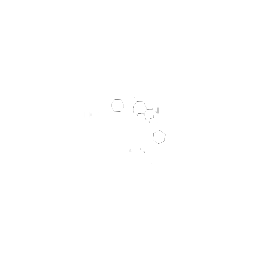 CC(=O)NC(C)(C)c1ccc(Oc2nc3nc(-c4ccc(C5(CO)CCC5)cc4)c(Cl)cc3[nH]2)cc1